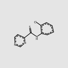 S=C(Nc1ccccc1Cl)c1ccncn1